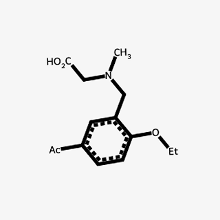 CCOc1ccc(C(C)=O)cc1CN(C)CC(=O)O